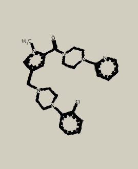 Cn1cc(CN2CCN(c3ccccc3Cl)CC2)cc1C(=O)N1CCN(c2ccccn2)CC1